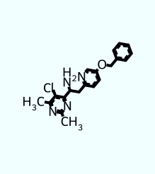 Cc1nc(C)c(Cl)c(C(N)Cc2ccc(OCc3ccccc3)cn2)n1